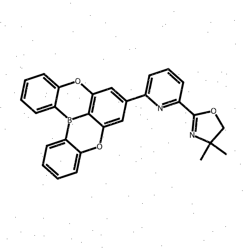 CC1(C)COC(c2cccc(-c3cc4c5c(c3)Oc3ccccc3B5c3ccccc3O4)n2)=N1